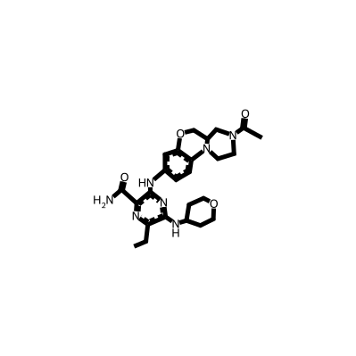 CCc1nc(C(N)=O)c(Nc2ccc3c(c2)OCC2CN(C(C)=O)CCN32)nc1NC1CCOCC1